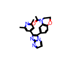 CC(=O)N1CCOc2ccc(-c3c(-c4cc(C)nc(C)c4)nc4ncccn34)cc21